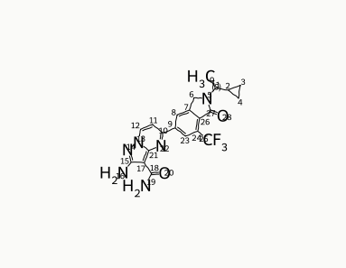 C[C@@H](C1CC1)N1Cc2cc(-c3ccn4nc(N)c(C(N)=O)c4n3)cc(C(F)(F)F)c2C1=O